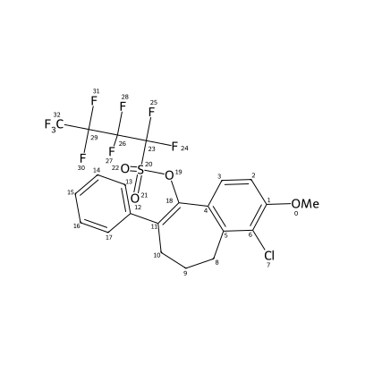 COc1ccc2c(c1Cl)CCCC(c1ccccc1)=C2OS(=O)(=O)C(F)(F)C(F)(F)C(F)(F)C(F)(F)F